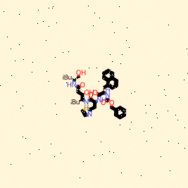 CCC(C)[C@H](NC(=O)C(Cc1nccs1)NC(=O)[C@H](Cc1cccc2ccccc12)NC(=O)OCc1ccccc1)[C@@H](O)CC(=O)N[C@H](CO)[C@@H](C)CC